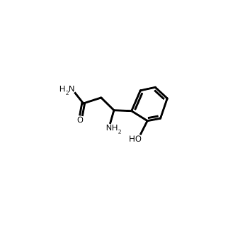 NC(=O)CC(N)c1ccccc1O